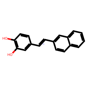 Oc1ccc(/C=C/c2ccc3ccccc3c2)cc1O